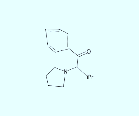 CC(C)C(C(=O)c1ccccc1)N1CCCC1